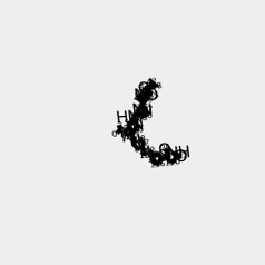 CC(C)n1nc(N2CCC(N(C)Cc3cccc(C4CCC(=O)NC4=O)c3)CC2)c2cnc(Nc3ccnc(-c4cnn(S(=O)(=O)C5CC5)c4)n3)cc21